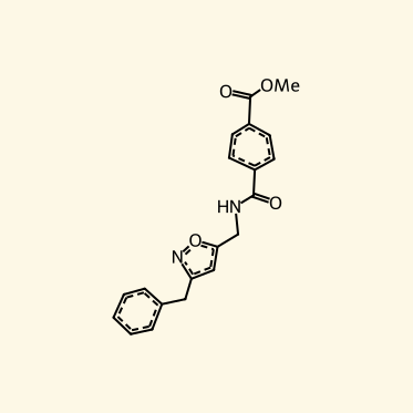 COC(=O)c1ccc(C(=O)NCc2cc(Cc3ccccc3)no2)cc1